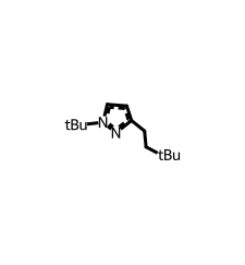 CC(C)(C)CCc1ccn(C(C)(C)C)n1